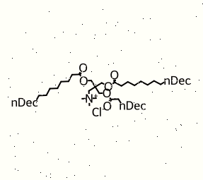 CCCCCCCCCCCCCCCCCC(=O)OCC(COC(=O)CCCCCCCCCCC)(COC(=O)CCCCCCCCCCCCCCCCC)C[N+](C)(C)C.[Cl-]